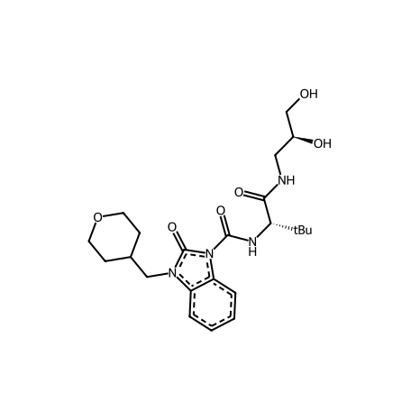 CC(C)(C)[C@H](NC(=O)n1c(=O)n(CC2CCOCC2)c2ccccc21)C(=O)NC[C@H](O)CO